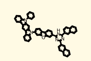 c1ccc(-n2c3ccccc3c3cc4c5ccccc5n(-c5ccc6c(c5)oc5cc(C7=NC(c8ccc9ccccc9c8)=NC(c8ccc9ccccc9c8)N7)ccc56)c4cc32)cc1